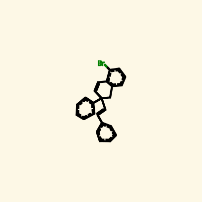 Brc1cccc2c1C=CC(C=Cc1ccccc1)(c1ccccc1)C2